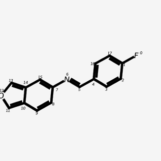 Fc1ccc(C=Nc2ccc3cocc3c2)cc1